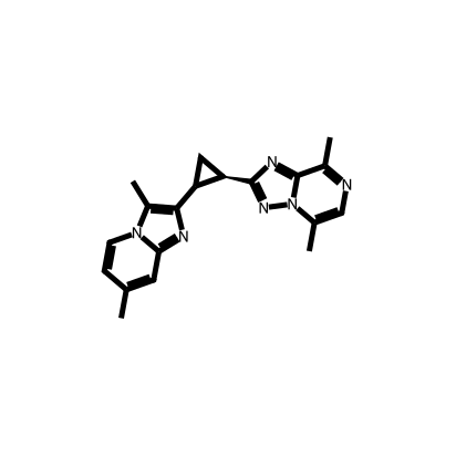 Cc1ccn2c(C)c(C3C[C@H]3c3nc4c(C)ncc(C)n4n3)nc2c1